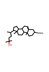 CNC1CCC2(C)C(=CCC3C2CCC2(C)C(C(C)CCC(C)(C)O)CCC32)C1